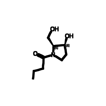 CCCC(=O)N1CC[C@H](O)[C@@H]1CO